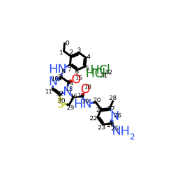 CCc1ccccc1Nc1ncc2n(c1=O)[C@@H](C(=O)NCc1ccc(N)nc1C)CS2.Cl.Cl